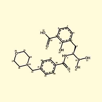 O=C(N[C@@H](Cc1cccc(C(=O)O)c1O)B(O)O)c1ccc(CN2CCOCC2)cc1